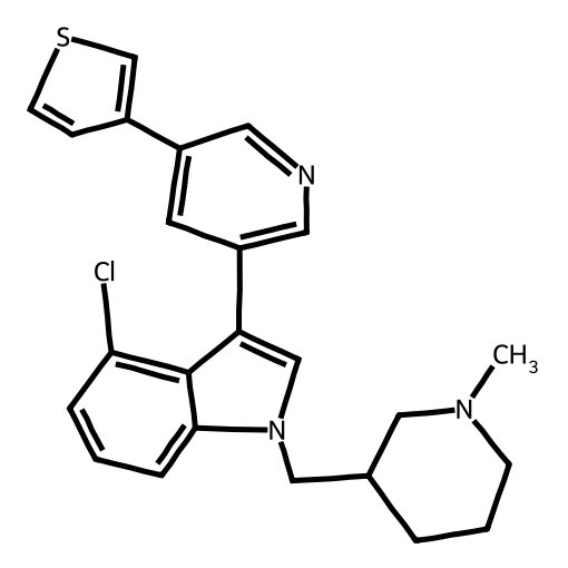 CN1CCCC(Cn2cc(-c3cncc(-c4ccsc4)c3)c3c(Cl)cccc32)C1